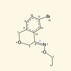 CCO/N=C1\COCc2ccc(Br)cc21